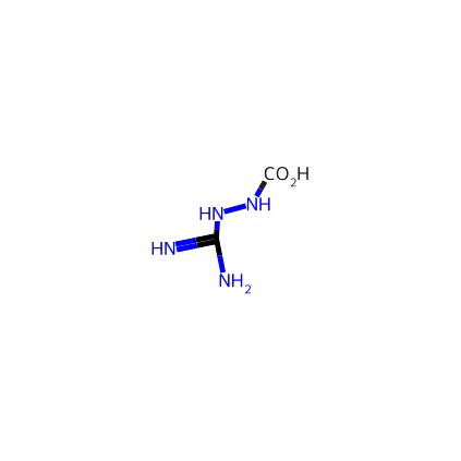 N=C(N)NNC(=O)O